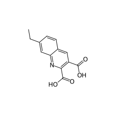 CCc1ccc2cc(C(=O)O)c(C(=O)O)nc2c1